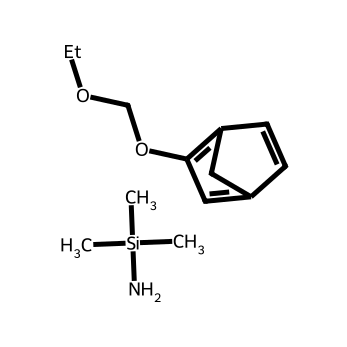 CCOCOC1=C2C=CC(=C1)C2.C[Si](C)(C)N